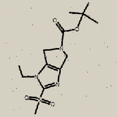 CCn1c(S(C)(=O)=O)nc2c1CN(C(=O)OC(C)(C)C)C2